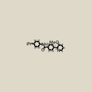 COc1cccnc1-c1ccc(C(=O)Nc2ccc(C(C)C)cc2)cc1